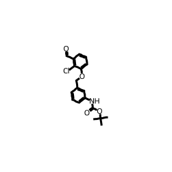 CC(C)(C)OC(=O)Nc1cccc(COc2cccc(C=O)c2Cl)c1